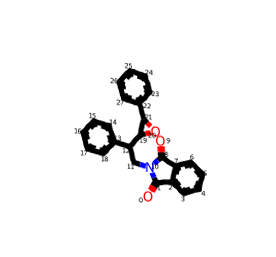 O=C1c2ccccc2C(=O)N1CC(c1ccccc1)C1OC1c1ccccc1